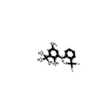 Cc1cc(Pc2ccccc2C(F)(F)F)c(O)c(C(C)(C)C)c1